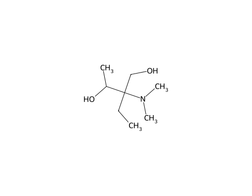 CCC(CO)(C(C)O)N(C)C